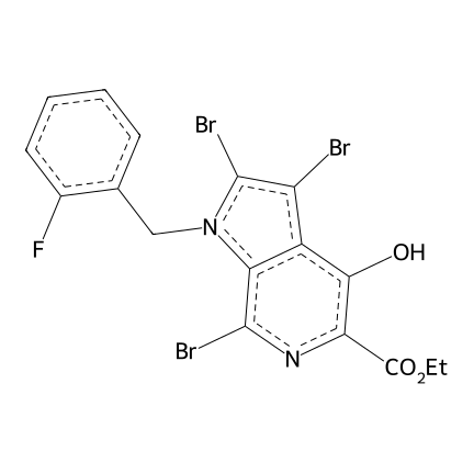 CCOC(=O)c1nc(Br)c2c(c1O)c(Br)c(Br)n2Cc1ccccc1F